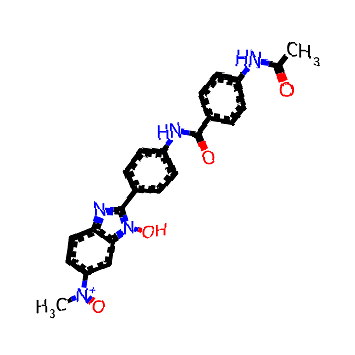 CC(=O)Nc1ccc(C(=O)Nc2ccc(-c3nc4ccc([N+](C)=O)cc4n3O)cc2)cc1